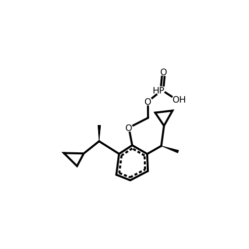 C[C@@H](c1cccc([C@H](C)C2CC2)c1OCO[PH](=O)O)C1CC1